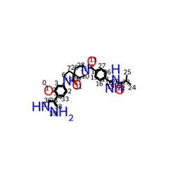 COc1cc(N2CCC3(CCN(C(=O)c4ccc(C(=N)NC(=O)C(C)C)cc4)CC3)C2=O)ccc1/C(C=N)=C/N